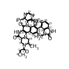 C=CC(=O)N1CC2C(=O)Nc3c(c4cc(F)c(-c5c(C)ccc6[nH]c(=O)n(C)c56)c(Cl)c4n(-c4c(C(C)C)ncnc4C(C)C)c3=O)N2CC1C